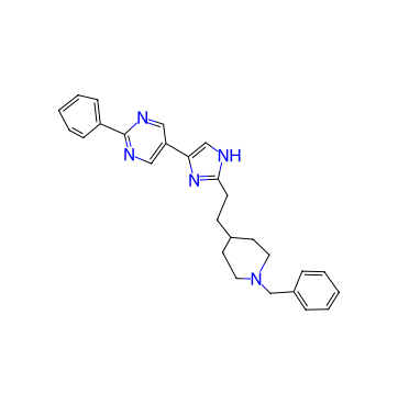 c1ccc(CN2CCC(CCc3nc(-c4cnc(-c5ccccc5)nc4)c[nH]3)CC2)cc1